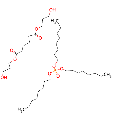 CCCCCCCCOP(=O)(OCCCCCCCC)OCCCCCCCC.O=C(CCCCC(=O)OCCCO)OCCCO